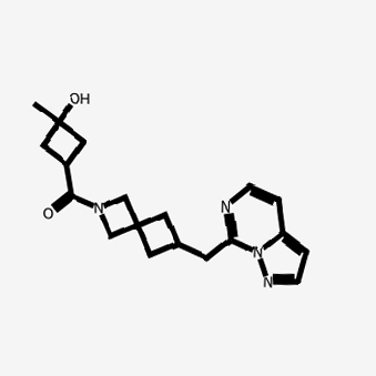 CC1(O)CC(C(=O)N2CC3(CC(Cc4nccc5ccnn45)C3)C2)C1